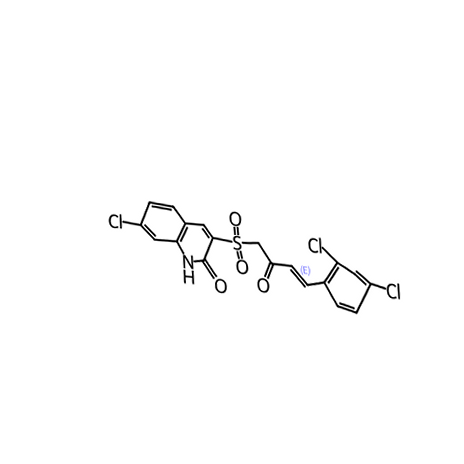 O=C(/C=C/c1ccc(Cl)cc1Cl)CS(=O)(=O)c1cc2ccc(Cl)cc2[nH]c1=O